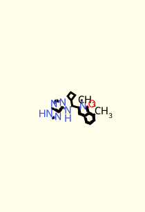 Cc1cccc2cc([C@@H](Nc3ncnc4[nH]cnc34)C3CCC3)n(C)c(=O)c12